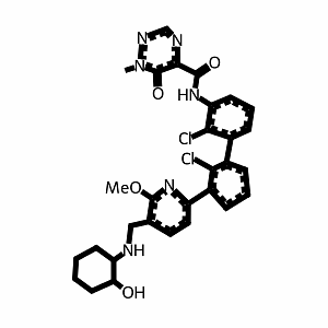 COc1nc(-c2cccc(-c3cccc(NC(=O)c4ncnn(C)c4=O)c3Cl)c2Cl)ccc1CNC1CCCCC1O